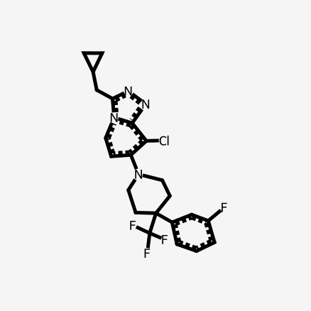 Fc1cccc(C2(C(F)(F)F)CCN(c3ccn4c(CC5CC5)nnc4c3Cl)CC2)c1